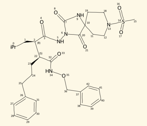 CC(C)C[C@@H](C(=O)NN1C(=O)NC2(CCN(S(C)(=O)=O)CC2)C1=O)[C@H](CCCc1ccccc1)C(=O)NOCc1ccccc1